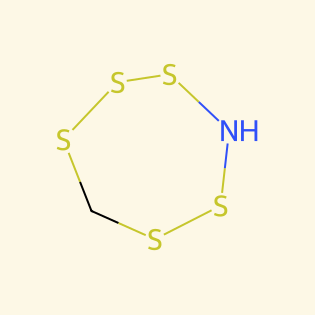 C1SSNSSS1